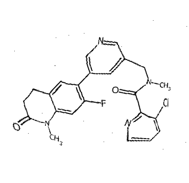 CN(Cc1cncc(-c2cc3c(cc2F)N(C)C(=O)CC3)c1)C(=O)c1ncccc1Cl